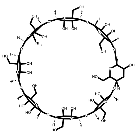 NC1C(O)[C@@H]2O[C@H]3OC(CO)[C@@H](O[C@H]4OC(CO)[C@@H](O[C@H]5OC(CO)[C@H](CC5O)O[C@H]5OC(CO)[C@@H](O[C@H]6OC(CO)[C@@H](O[C@H]7OC(CO)[C@@H](O[C@H]8OC(CO)[C@@H](O[C@H]1OC2CO)C(O)C8O)C(O)C7O)C(O)C6O)C(O)C5O)C(O)C4O)C(O)C3O